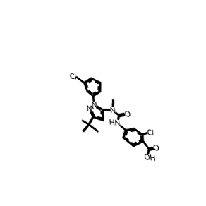 CN(C(=O)Nc1ccc(C(=O)O)c(Cl)c1)c1cc(C(C)(C)C)nn1-c1cccc(Cl)c1